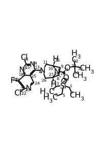 CC[Si](CC)(CC)O[C@H]1C[C@H]2CN(c3nc(Cl)nc4c(F)c(Cl)ncc34)C[C@@H]1N2C(=O)OC(C)(C)C